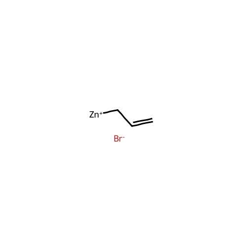 C=C[CH2][Zn+].[Br-]